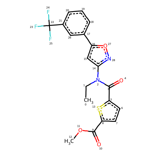 CCN(C(=O)c1ccc(C(=O)OC)s1)c1cc(-c2cccc(C(F)(F)F)c2)on1